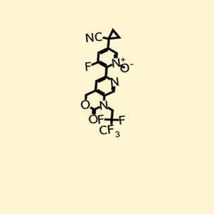 N#CC1(c2cc(F)c(-c3cc4c(cn3)N(CC(F)(F)C(F)(F)F)C(=O)OC4)[n+]([O-])c2)CC1